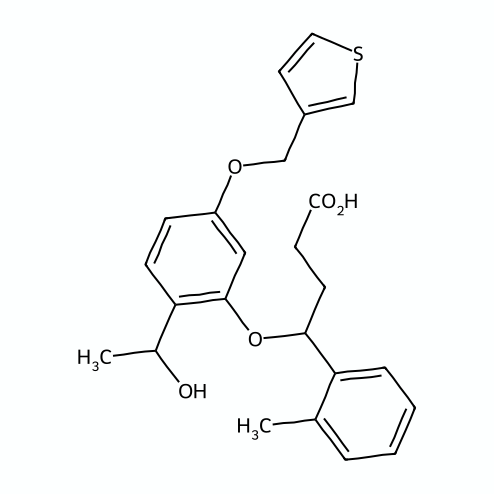 Cc1ccccc1C(CCC(=O)O)Oc1cc(OCc2ccsc2)ccc1C(C)O